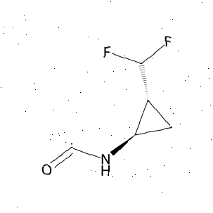 O=[C]N[C@@H]1C[C@H]1C(F)F